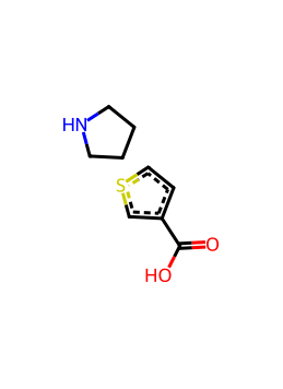 C1CCNC1.O=C(O)c1ccsc1